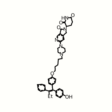 CCC(=C(c1ccc(O)cc1)c1ccc(OCCCCCN2CCN(c3cc4c(cn3)C(=O)N(C3CCC(=O)NC3=O)C4)CC2)cc1)c1ccccc1